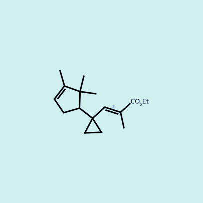 CCOC(=O)/C(C)=C/C1(C2CC=C(C)C2(C)C)CC1